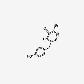 CC(C)c1ncc(Cc2ccc(O)cc2)[nH]c1=O